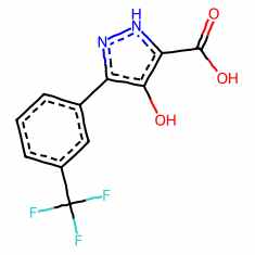 O=C(O)c1[nH]nc(-c2cccc(C(F)(F)F)c2)c1O